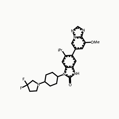 COc1cc(-c2cc3[nH]c(=O)n(C4CCC(N5CCC(F)(F)C5)CC4)c3cc2C(C)C)cn2ncnc12